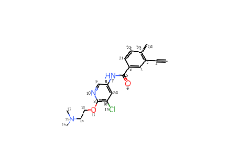 C#Cc1cc(C(=O)Nc2cnc(OCCN(C)C)c(Cl)c2)ccc1C